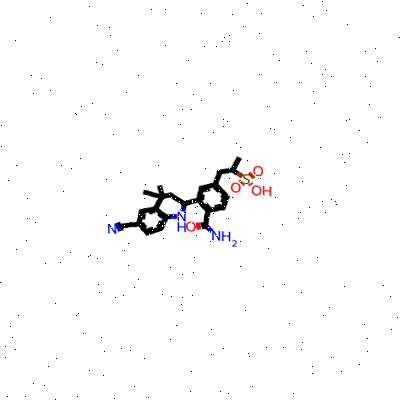 CC(Cc1ccc(C(N)=O)c(C2CC(C)(C)c3cc(C#N)ccc3N2)c1)S(=O)(=O)O